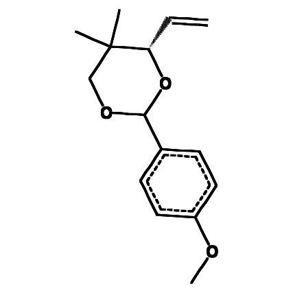 C=C[C@@H]1OC(c2ccc(OC)cc2)OCC1(C)C